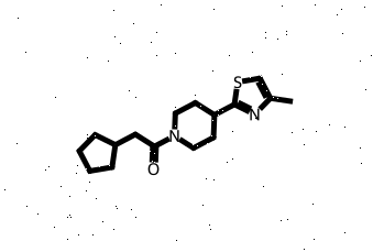 Cc1csc(C2CCN(C(=O)CC3CCCC3)CC2)n1